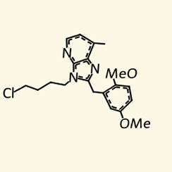 COc1ccc(OC)c(Cc2nc3c(C)ccnc3n2CCCCCl)c1